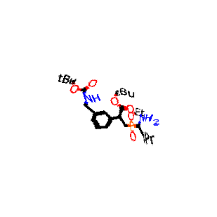 CCOP(=O)(CC(C(=O)OC(C)(C)C)c1cccc(CNC(=O)OC(C)(C)C)c1)C(N)C(C)C